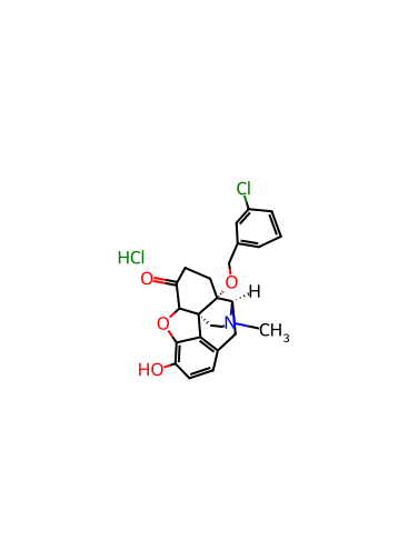 CN1CC[C@]23c4c5ccc(O)c4OC2C(=O)CC[C@@]3(OCc2cccc(Cl)c2)[C@H]1C5.Cl